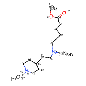 CCCCCCCCCN(CCCCC(=O)OCCCC)CCC1CCN(C(=O)O)CC1